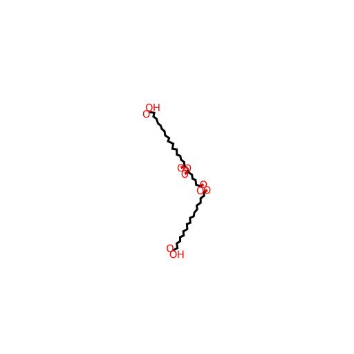 O=C(O)CCCCCCCCCCCCCCCCCC(=O)OC(=O)CCCCC(=O)OC(=O)CCCCCCCCCCCCCCCCCC(=O)O